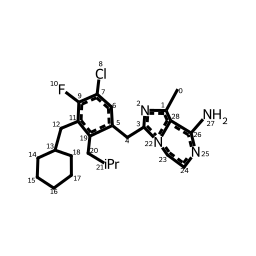 Cc1nc(Cc2cc(Cl)c(F)c(CC3CCCCC3)c2CC(C)C)n2ccnc(N)c12